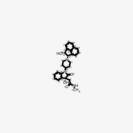 CNC(=O)C[C@]1(O)C(=O)N(C2CCN([C@@H]3c4cccc5cccc(c45)[C@H]3O)CC2)c2ccccc21